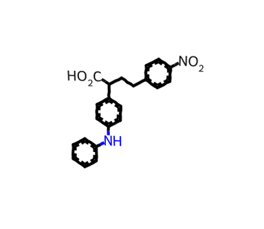 O=C(O)C(CCc1ccc([N+](=O)[O-])cc1)c1ccc(Nc2ccccc2)cc1